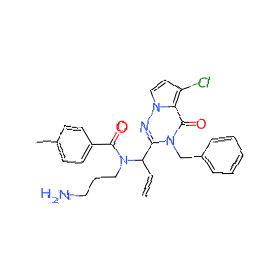 C=CC(c1nn2ccc(Cl)c2c(=O)n1Cc1ccccc1)N(CCCN)C(=O)c1ccc(C)cc1